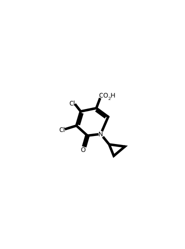 O=C(O)c1cn(C2CC2)c(=O)c(Cl)c1Cl